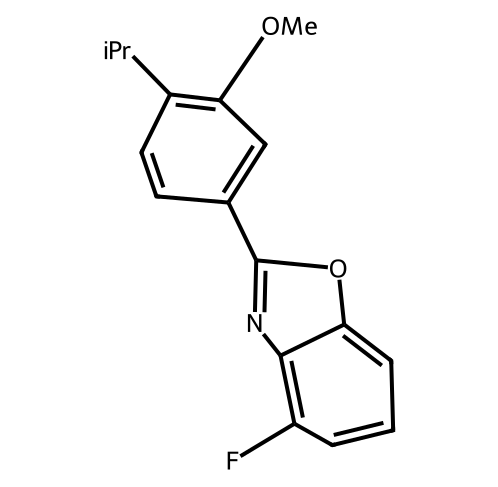 COc1cc(-c2nc3c(F)cccc3o2)ccc1C(C)C